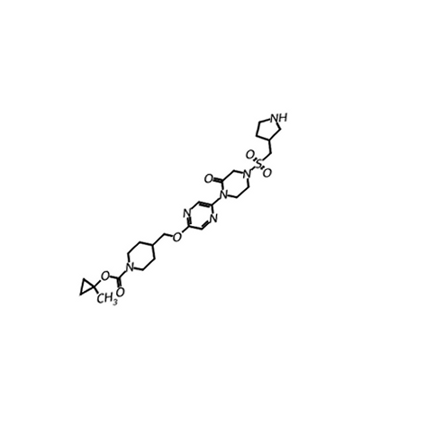 CC1(OC(=O)N2CCC(COc3cnc(N4CCN(S(=O)(=O)CC5CCNC5)CC4=O)cn3)CC2)CC1